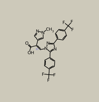 Cn1cc(/C(=C\n2nc(-c3ccc(C(F)(F)F)cc3)nc2-c2ccc(C(F)(F)F)cc2)C(=O)O)cn1